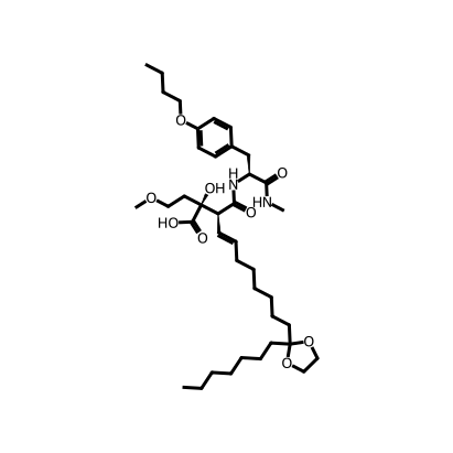 CCCCCCCC1(CCCCCCC=C[C@H](C(=O)N[C@@H](Cc2ccc(OCCCC)cc2)C(=O)NC)[C@@](O)(CCOC)C(=O)O)OCCO1